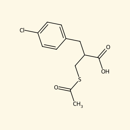 CC(=O)SCC(Cc1ccc(Cl)cc1)C(=O)O